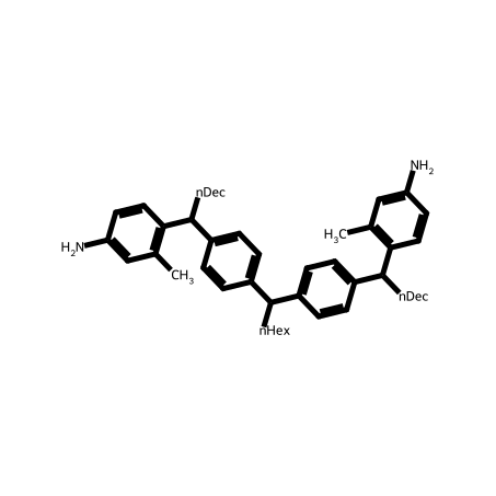 CCCCCCCCCCC(c1ccc(C(CCCCCC)c2ccc(C(CCCCCCCCCC)c3ccc(N)cc3C)cc2)cc1)c1ccc(N)cc1C